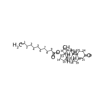 C=CCCCCCCCCC(=O)O[C@H]1CC[C@H]2[C@@H]3CCC4=CC(=O)CC[C@@H]4[C@H]3CC[C@]12CC